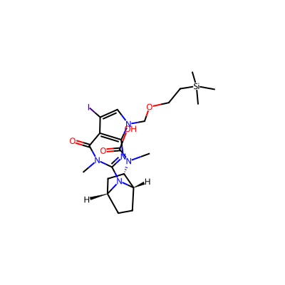 CN(C(=O)O)[C@H]1C[C@H]2CC[C@@H]1N2c1nc2c(c(I)cn2COCC[Si](C)(C)C)c(=O)n1C